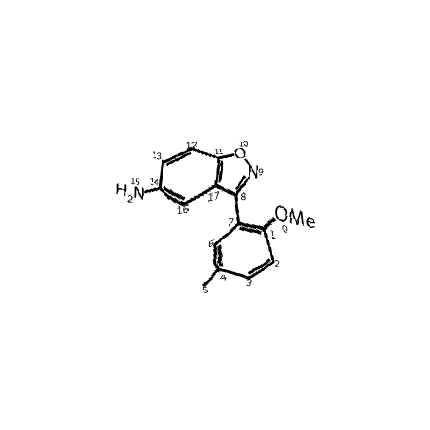 COc1ccc(C)cc1-c1noc2ccc(N)cc12